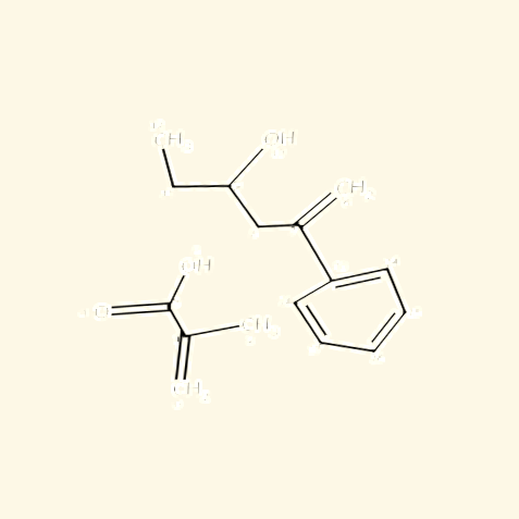 C=C(C)C(=O)O.C=C(CC(O)CC)c1ccccc1